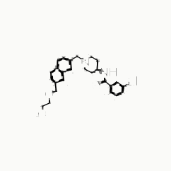 COCCOCc1ccc2ccc(CN3CCC(NC(=O)c4cccc(Cl)c4)CC3)cc2c1